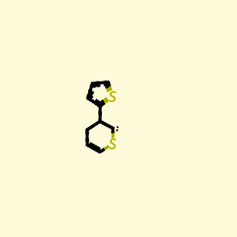 [C]1SC=CCC1c1cccs1